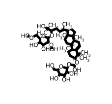 C[C@H](CCC(OC1OC(COO)C(O)C(O)C1OO)C(C)(C)O)[C@H]1CC[C@@]2(C)C3CC=C4C(CC[C@H](OC(O)OC5OC(CO)C(O)C(O)C5O)C4(C)C)[C@]3(C)CC[C@]12C